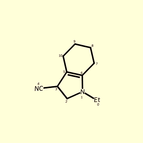 CCN1CC(C#N)C2=C1CCCC2